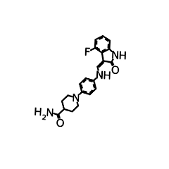 NC(=O)C1CCN(c2ccc(NC=C3C(=O)Nc4cccc(F)c43)cc2)CC1